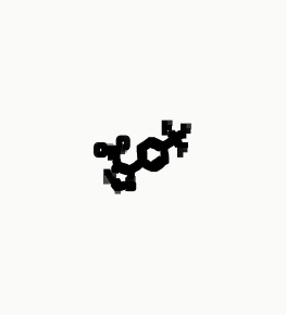 O=[N+]([O-])c1n[c]sc1-c1ccc(C(F)(F)F)cc1